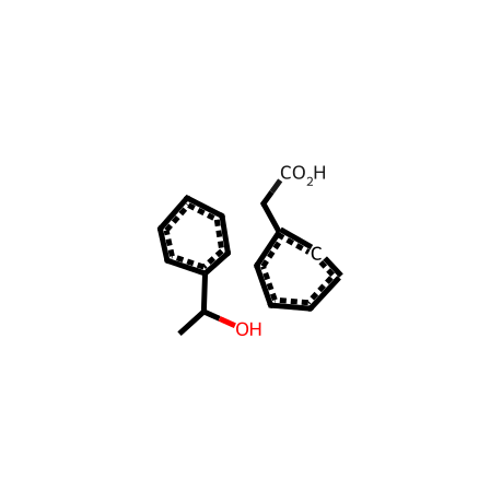 CC(O)c1ccccc1.O=C(O)Cc1ccccc1